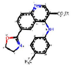 CCOC(=O)c1cnc2ccc(C3=NCCO3)cc2c1Nc1ccc(C)cc1